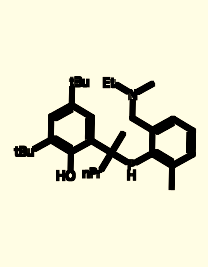 CCCC(C)(Pc1c(C)cccc1CN(C)CC)c1cc(C(C)(C)C)cc(C(C)(C)C)c1O